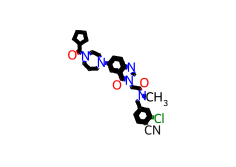 CN(Cc1ccc(C#N)c(Cl)c1)C(=O)Cn1cnc2ccc(N3CCCN(C(=O)C4CCCC4)CC3)cc2c1=O